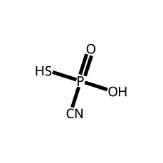 N#CP(=O)(O)S